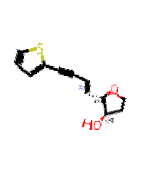 O[C@@H]1CCO[C@H]1/C=C/C#Cc1cccs1